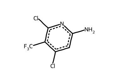 Nc1cc(Cl)c(C(F)(F)F)c(Cl)n1